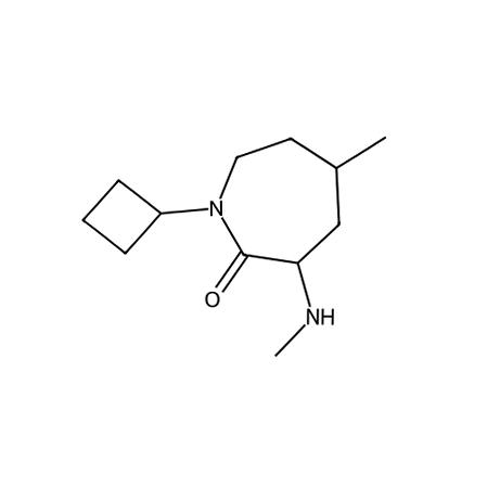 CNC1CC(C)CCN(C2CCC2)C1=O